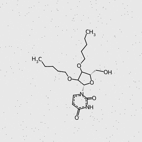 CCCCCOC1C(OCCCCC)[C@@H](n2ccc(=O)[nH]c2=O)O[C@H]1CO